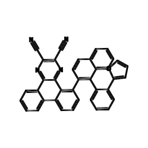 N#Cc1nc2c3ccccc3c3cccc(-c4ccc5ccccc5c4-c4ccccc4-c4ccco4)c3c2nc1C#N